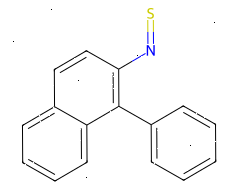 S=Nc1ccc2ccccc2c1-c1ccccc1